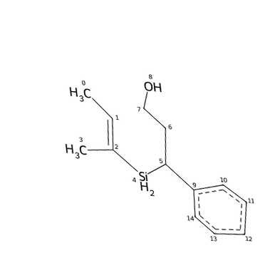 CC=C(C)[SiH2]C(CCO)c1ccccc1